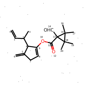 C=CC(C)C1C(=C)CC=C1OC(=O)C1(C=O)C(C)(C)C1(C)C